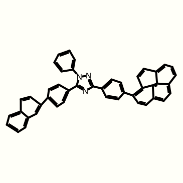 c1ccc(-n2nc(-c3ccc(-c4ccc5ccc6cccc7ccc4c5c67)cc3)nc2-c2ccc(-c3ccc4ccccc4c3)cc2)cc1